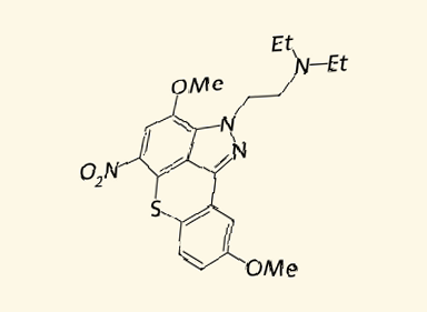 CCN(CC)CCn1nc2c3c(c([N+](=O)[O-])cc(OC)c31)Sc1ccc(OC)cc1-2